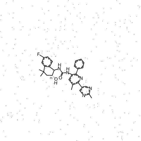 Cc1ncc(-c2nc(-c3ccccc3)c(NC(=O)NC3c4ccc(F)cc4C(C)(C)C[C@H]3O)cc2C)cn1